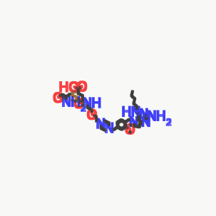 CCCCCNc1nc(N)nc2ccn(Cc3ccc(CN4CCN(CCOCCNC(=O)CC(SCC(N)C=O)C(=O)O)CC4)cc3OC)c12